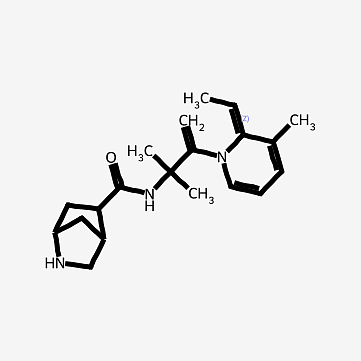 C=C(N1C=CC=C(C)/C1=C/C)C(C)(C)NC(=O)C1CC2CC1CN2